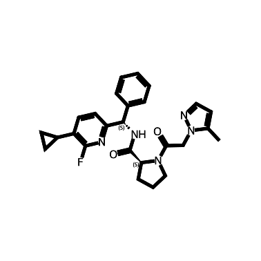 Cc1ccnn1CC(=O)N1CCC[C@H]1C(=O)N[C@@H](c1ccccc1)c1ccc(C2CC2)c(F)n1